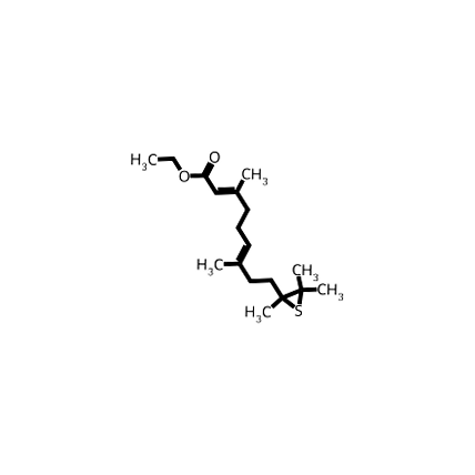 CCOC(=O)C=C(C)CCC=C(C)CCC1(C)SC1(C)C